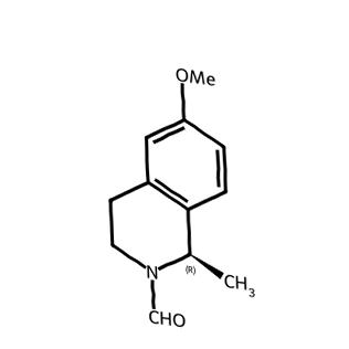 COc1ccc2c(c1)CCN(C=O)[C@@H]2C